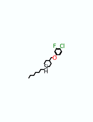 CCCCCCC[SiH]1CCC(COc2ccc(Cl)c(F)c2)CC1